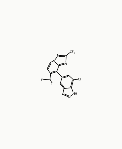 FC(F)c1ccn2nc(C(F)(F)F)nc2c1-c1cc(Cl)c2[nH]ncc2c1